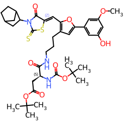 COc1cc(O)cc(-c2cc(CCCNC(=O)[C@H](CC(=O)OC(C)(C)C)NC(=O)OC(C)(C)C)c(/C=C3\SC(=S)N(C4CC5CCC4C5)C3=O)o2)c1